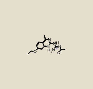 CCOc1ccc2c(C)nc(N/C(N)=N/C(C)=O)nc2c1